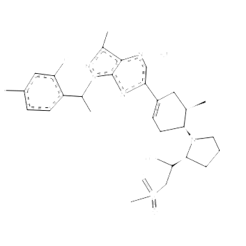 Cc1nn(C(C)c2ccc(Cl)cc2Cl)c2nc(C3=CC[C@H](N4CCC[C@H]4C(O)CS(C)(=O)=O)[C@H](C)C3)cnc12.Cl